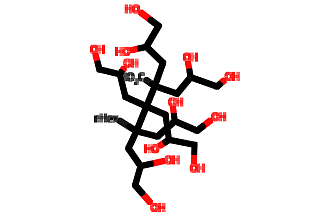 CCCCCCC(CC(O)CO)(CC(O)CO)C(CC(O)CO)(CC(O)CO)C(CC(O)CO)(CC(O)CO)C(=O)O